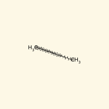 CC[CH]CCCCCCCCCCCCCCCCCCCCCCCCC